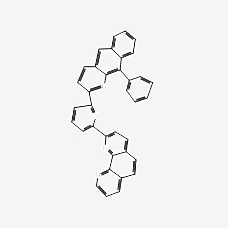 c1ccc(-c2c3ccccc3cc3ccc(-c4cccc(-c5ccc6ccc7cccnc7c6n5)n4)nc23)cc1